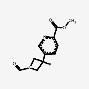 COC(=O)c1ccc(C2(F)CN(C=O)C2)cn1